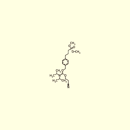 COP(=O)(CCCc1ccc(COP(OCCC#N)N(C(C)C)C(C)C)cc1)OC